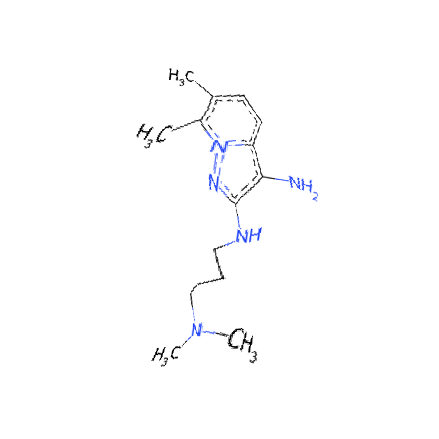 Cc1ccc2c(N)c(NCCCN(C)C)nn2c1C